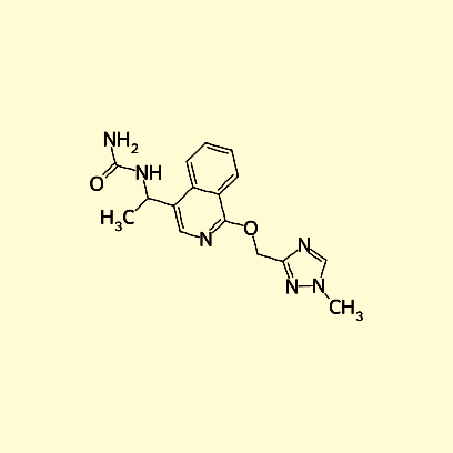 CC(NC(N)=O)c1cnc(OCc2ncn(C)n2)c2ccccc12